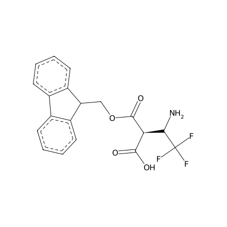 NC([C@@H](C(=O)O)C(=O)OCC1c2ccccc2-c2ccccc21)C(F)(F)F